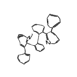 c1ccc(-c2cccnc2-c2ccccc2-c2ccccc2-c2ncccc2-c2ccccc2)cc1